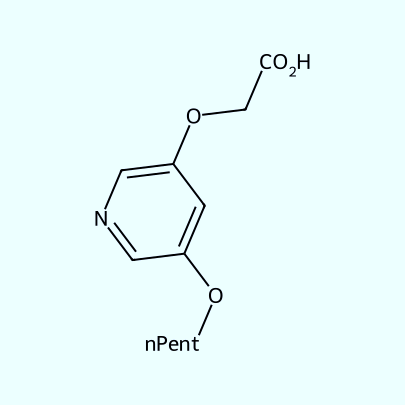 CCCCCOc1cncc(OCC(=O)O)c1